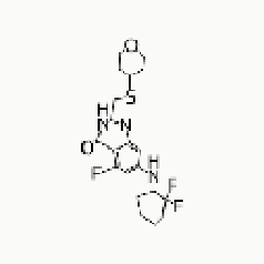 O=c1[nH]c(CSC2CCOCC2)nc2cc(NC3CCCCC3(F)F)cc(F)c12